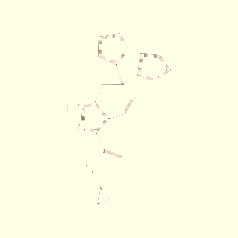 O=C(NC1CC1)c1n[nH]c2c1C=CC(c1cccs1)(c1cccs1)C2